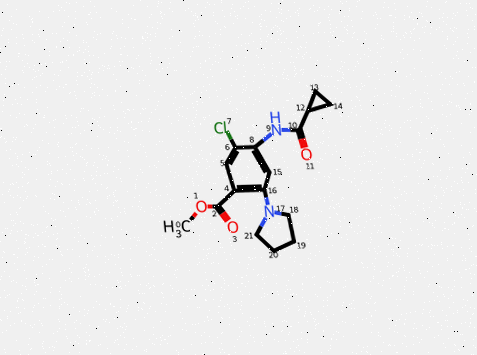 COC(=O)c1cc(Cl)c(NC(=O)C2CC2)cc1N1CCCC1